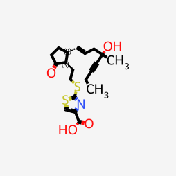 CCC#CC(C)(O)CC=C[C@H]1CCC(=O)[C@@H]1CCSc1nc(C(=O)O)cs1